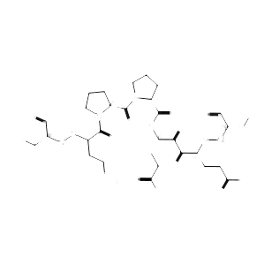 CC[C@H](C)C(NN[C@H](C=O)CO)C(=O)N1CCC[C@H]1C(=O)N1CCC[C@H]1C(=O)N[C@@H](CCC(=O)O)C(=O)C(=O)[C@H](CCC(=O)O)NN[C@H](C=O)CO